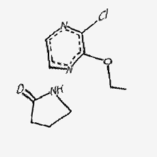 CCOc1nccnc1Cl.O=C1CCCN1